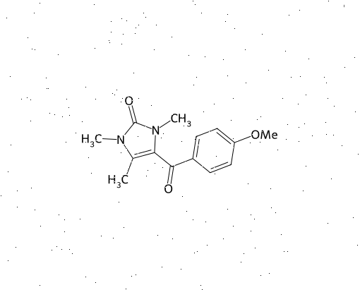 COc1ccc(C(=O)c2c(C)n(C)c(=O)n2C)cc1